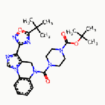 CC(C)(C)OC(=O)N1CCN(C(=O)N2Cc3c(-c4noc(C(C)(C)C)n4)ncn3-c3ccccc32)CC1